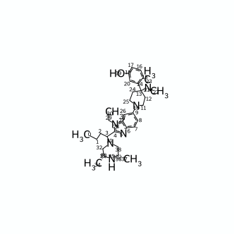 CCCC(c1nc2ccc(N3CCC(c4cccc(O)c4)(N(C)C)CC3)cc2n1CC)N1C[C@@H](C)N[C@@H](C)C1